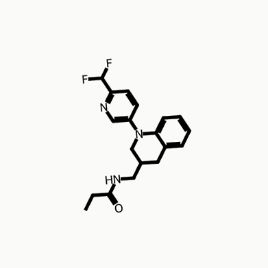 CCC(=O)NCC1Cc2ccccc2N(c2ccc(C(F)F)nc2)C1